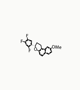 COc1ccc2ccc3c(c2c1)CC[C@@H](c1cc(F)c(F)cc1F)O3